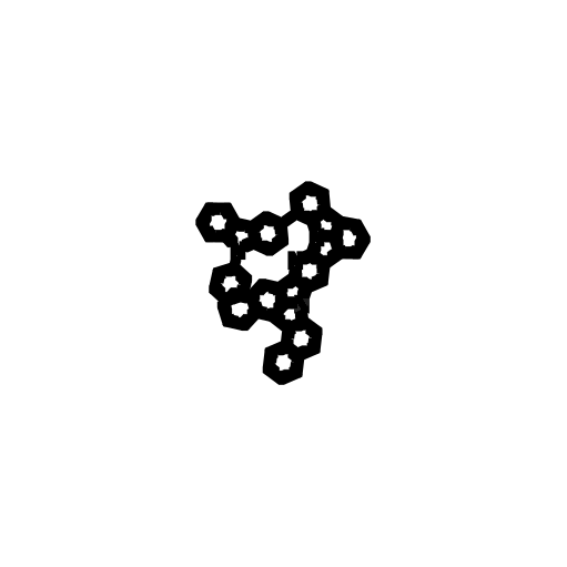 c1ccc(-n2c3ccccc3c3cc(-c4cccc5c6cccc7c8cc9c(nc8n(c45)c76)c4cc5ccccc5c5c6c7ccccc7ccc6n9c45)ccc32)cc1